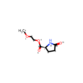 COCCOC(=O)[C@@H]1CCC(=O)N1